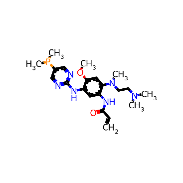 C=CC(=O)Nc1cc(Nc2ncc(P(C)C)cn2)c(OC)cc1N(C)CCN(C)C